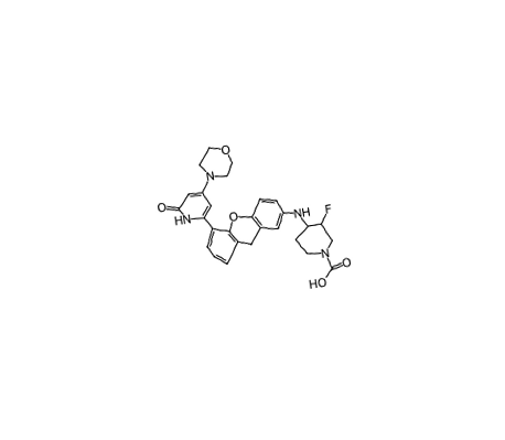 O=C(O)N1CCC(Nc2ccc3c(c2)Cc2cccc(-c4cc(N5CCOCC5)cc(=O)[nH]4)c2O3)C(F)C1